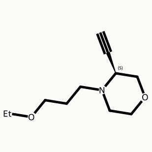 C#C[C@H]1COCCN1CCCOCC